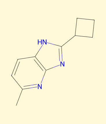 Cc1ccc2[nH]c(C3CCC3)nc2n1